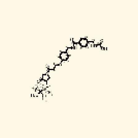 CC(C)(C)[Si](C)(C)OC1CN(C(=O)CCOc2ccc(CNC(=O)c3ccc(CNC(=O)O)cc3)cc2)CC1=O